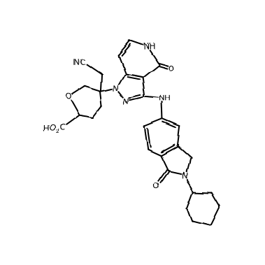 N#CCC1(n2nc(Nc3ccc4c(c3)CN(C3CCCCC3)C4=O)c3c(=O)[nH]ccc32)CCC(C(=O)O)OC1